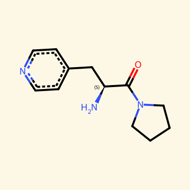 N[C@@H](Cc1ccncc1)C(=O)N1CCCC1